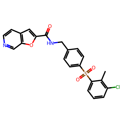 Cc1c(Cl)cccc1S(=O)(=O)c1ccc(CNC(=O)c2cc3ccncc3o2)cc1